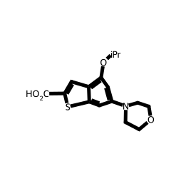 CC(C)Oc1cc(N2CCOCC2)cc2sc(C(=O)O)cc12